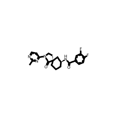 Cc1nccc(N2CC[C@]3(CCC[C@H](NC(=O)c4ccc(F)c(F)c4)C3)C2=O)n1